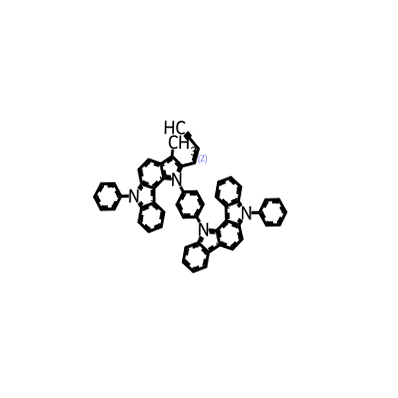 C#C/C=C\c1c(C)c2ccc3c(c4ccccc4n3-c3ccccc3)c2n1-c1ccc(-n2c3ccccc3c3ccc4c(c5ccccc5n4-c4ccccc4)c32)cc1